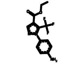 CCOC(=O)c1cnn(-c2ccc(N)cc2)c1C(F)(F)F